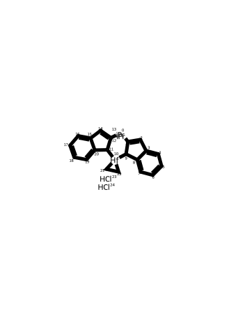 CC(C)C1=Cc2ccccc2[CH]1[Hf]1([CH]2C(C(C)C)=Cc3ccccc32)[CH2][CH2]1.Cl.Cl